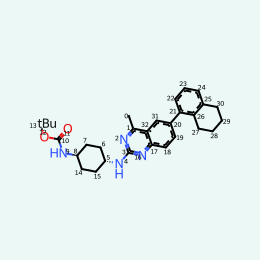 Cc1nc(N[C@H]2CC[C@H](NC(=O)OC(C)(C)C)CC2)nc2ccc(-c3cccc4c3CCCC4)cc12